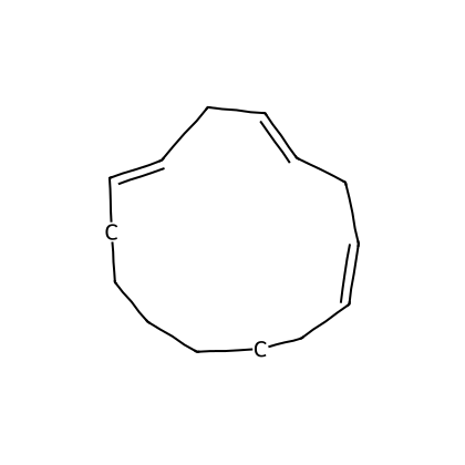 C1=C\CCCCCC/C=C/C/C=C/C/1